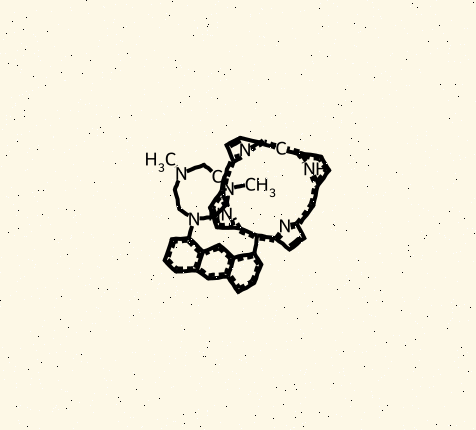 CN1CCN(C)CCN(c2cccc3cc4cccc(-c5c6nc(cc7ccc(cc8nc(cc9ccc5[nH]9)C=C8)[nH]7)C=C6)c4cc23)CC1